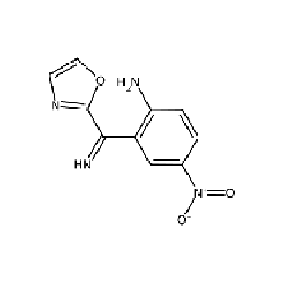 N=C(c1ncco1)c1cc([N+](=O)[O-])ccc1N